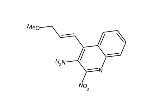 COCC=Cc1c(N)c([N+](=O)[O-])nc2ccccc12